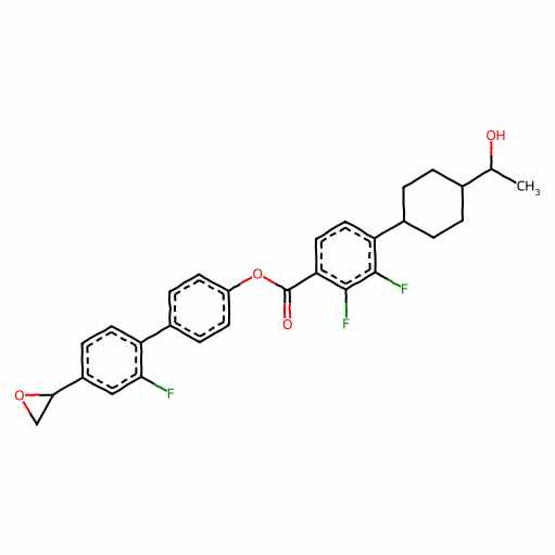 CC(O)C1CCC(c2ccc(C(=O)Oc3ccc(-c4ccc(C5CO5)cc4F)cc3)c(F)c2F)CC1